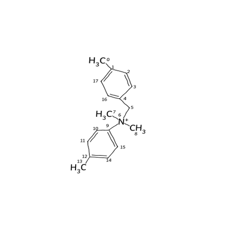 Cc1ccc(C[N+](C)(C)c2ccc(C)cc2)cc1